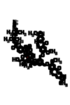 COc1cc2c(cc1OCc1cc(COc3cc4c(cc3OC)C(=O)N3Cc5ncn(C)c5C[C@H]3C=N4)cc(C[N+](C)(C)Cc3ccc(OS(=O)(=O)Oc4cc(C(=O)NCC(C)(C)OCC(C)(C)CN=[N+]=[N-])ccc4O[C@@H]4O[C@H](CO)[C@H](O)[C@H](O)[C@H]4O)cc3)c1)N=CC1Cc3c(ncn3C)CN1C2=O